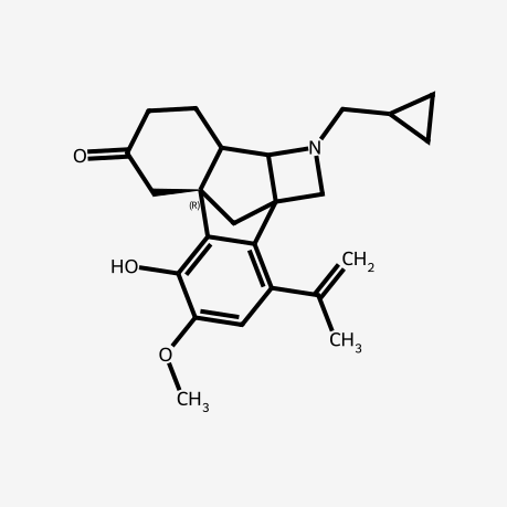 C=C(C)c1cc(OC)c(O)c2c1C13CN(CC4CC4)C1C1CCC(=O)C[C@@]21C3